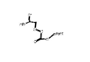 CCCCCOC(=O)OOCC(CC)CCCC